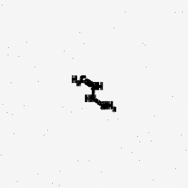 C=[SiH]N[SiH3]